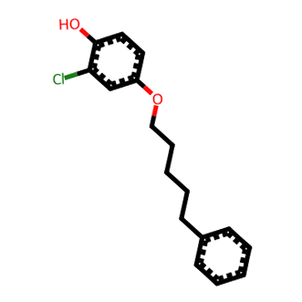 Oc1ccc(OCCCCCc2ccccc2)cc1Cl